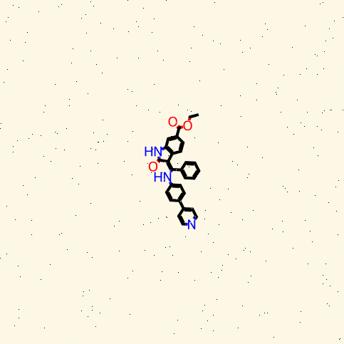 CCOC(=O)c1ccc2c(c1)NC(=O)/C2=C(\Nc1ccc(-c2ccncc2)cc1)c1ccccc1